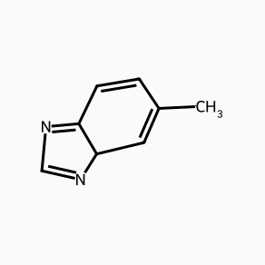 CC1=CC2N=CN=C2C=C1